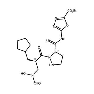 CCOC(=O)c1nnc(NC(=O)[C@@H]2CCNN2C(=O)[C@H](CC2CCCC2)CN(O)C=O)o1